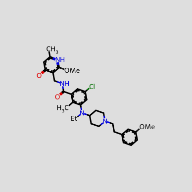 CCN(c1cc(Cl)cc(C(=O)NCc2c(OC)[nH]c(C)cc2=O)c1C)C1CCN(CCc2cccc(OC)c2)CC1